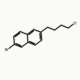 [O]CCCCc1ccc2cc(Br)ccc2c1